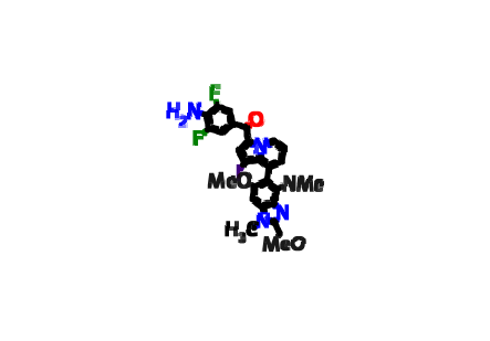 CNc1c(-c2cccn3c(C(=O)c4cc(F)c(N)c(F)c4)cc(I)c23)c(OC)cc2c1nc(COC)n2C